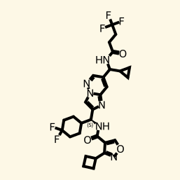 O=C(CCC(F)(F)F)NC(c1cnn2cc([C@@H](NC(=O)c3conc3C3CCC3)C3CCC(F)(F)CC3)nc2c1)C1CC1